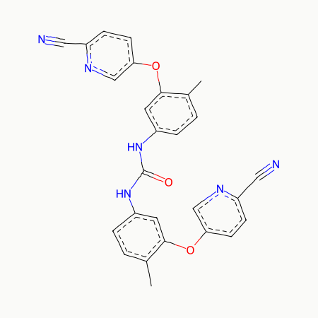 Cc1ccc(NC(=O)Nc2ccc(C)c(Oc3ccc(C#N)nc3)c2)cc1Oc1ccc(C#N)nc1